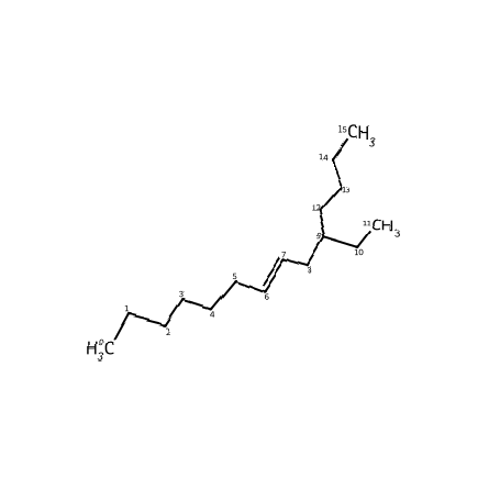 CCCCCCC=CCC(CC)CCCC